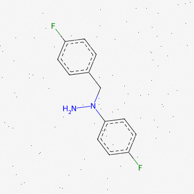 NN(Cc1ccc(F)cc1)c1ccc(F)cc1